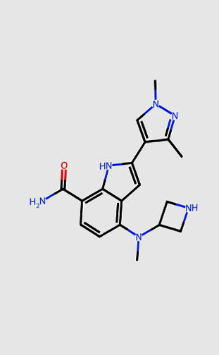 Cc1nn(C)cc1-c1cc2c(N(C)C3CNC3)ccc(C(N)=O)c2[nH]1